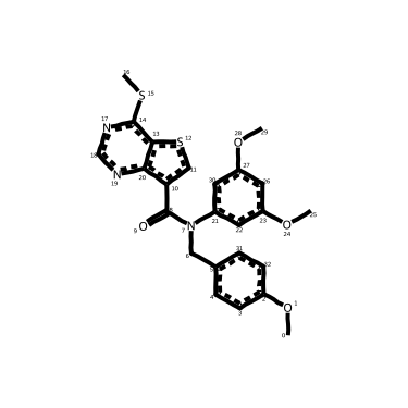 COc1ccc(CN(C(=O)c2csc3c(SC)ncnc23)c2cc(OC)cc(OC)c2)cc1